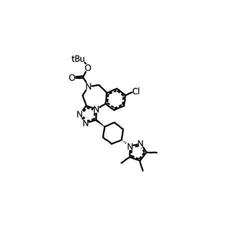 Cc1nn([C@H]2CC[C@H](c3nnc4n3-c3ccc(Cl)cc3CN(C(=O)OC(C)(C)C)C4)CC2)c(C)c1C